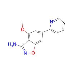 COc1cc(-c2ccccn2)cc2onc(N)c12